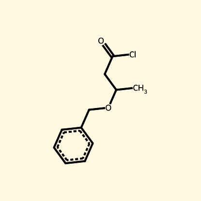 CC(CC(=O)Cl)OCc1ccccc1